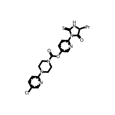 CC(C)C1NC(=S)N(c2ccc(OC(=O)N3CCN(c4ccc(Cl)cn4)CC3)cn2)C1=O